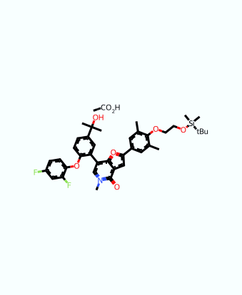 CC(=O)O.Cc1cc(-c2cc3c(=O)n(C)cc(-c4cc(C(C)(C)O)ccc4Oc4ccc(F)cc4F)c3o2)cc(C)c1OCCO[Si](C)(C)C(C)(C)C